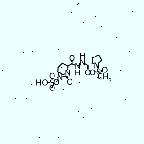 CS(=O)(=O)N1CCC[C@H]1C(=O)NNC(=O)C1CCC2CN1C(=O)N2OS(=O)(=O)O